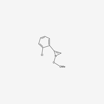 COON1C=C1c1ccccc1Cl